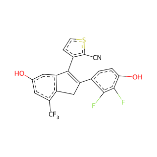 N#Cc1sccc1C1=C(c2ccc(O)c(F)c2F)Cc2c1cc(O)cc2C(F)(F)F